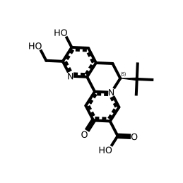 CC(C)(C)[C@@H]1Cc2cc(O)c(CO)nc2-c2cc(=O)c(C(=O)O)cn21